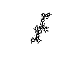 c1ccc(-c2nc(-c3ccc(-c4cccc5c4oc4ccccc45)cc3)nc(-c3cccc4oc5c(-c6ccc7c(c6)c6ccccc6n7-c6ccccc6)cccc5c34)n2)cc1